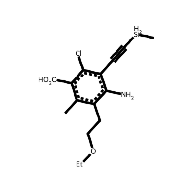 CCOCCc1c(C)c(C(=O)O)c(Cl)c(C#C[SiH2]C)c1N